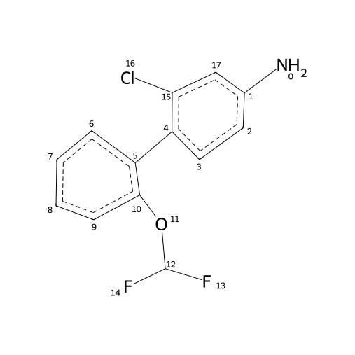 Nc1ccc(-c2ccccc2OC(F)F)c(Cl)c1